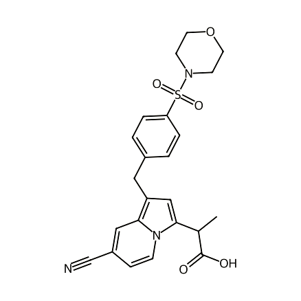 CC(C(=O)O)c1cc(Cc2ccc(S(=O)(=O)N3CCOCC3)cc2)c2cc(C#N)ccn12